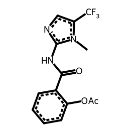 CC(=O)Oc1ccccc1C(=O)Nc1ncc(C(F)(F)F)n1C